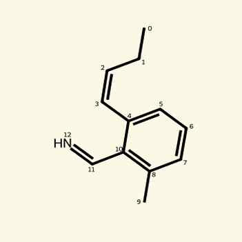 CC/C=C\c1cccc(C)c1C=N